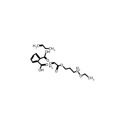 C=CC(=O)OCCC[SiH2]OCC.C=CCC.O=C(O)c1ccccc1C(=O)O